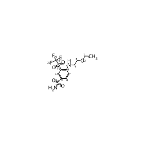 CCOCCNc1ccc(S(N)(=O)=O)cc1S(=O)(=O)C(F)(F)F